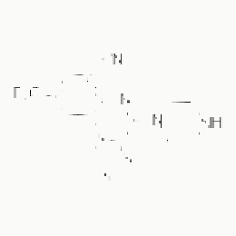 N#Cc1cc(C(F)(F)F)cc2c1nc(N1CCNCC1)c1nncn12